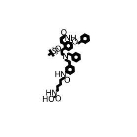 CC(C)(C)[Si](C)(C)OC(CN(CCc1cccc(NC(=O)CCCCNC(=O)O)c1)Cc1ccccc1)c1ccc(OCc2ccccc2)c2[nH]c(=O)ccc12